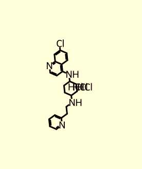 Cl.Cl.Cl.Clc1ccc2c(NC3CCC(NCCc4ccccn4)CC3)ccnc2c1